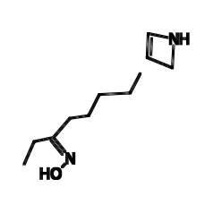 C1=CNC1.CCCCCC(CC)=NO